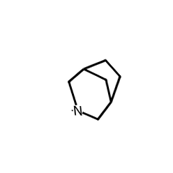 C1CC2C[N]CC1C2